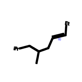 [CH2]C/C=C/CC(C)CC(C)C